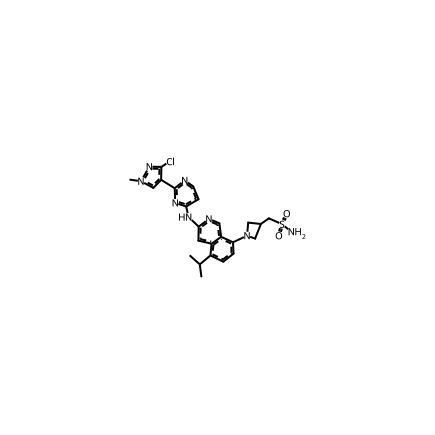 CC(C)c1ccc(N2CC(CS(N)(=O)=O)C2)c2cnc(Nc3ccnc(-c4cn(C)nc4Cl)n3)cc12